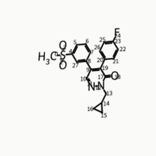 CS(=O)(=O)c1cccc(-c2cnn(CC3CC3)c(=O)c2-c2ccc(F)cc2)c1